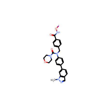 Cn1ncc2ccc(-c3ccc(N(Cc4ccc(C(=O)NOI)cc4)C(=O)N4CCOCC4)cc3)cc21